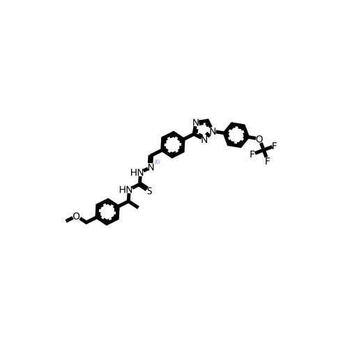 COCc1ccc(C(C)NC(=S)N/N=C/c2ccc(-c3ncn(-c4ccc(OC(F)(F)F)cc4)n3)cc2)cc1